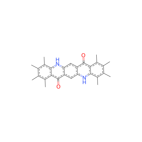 Cc1c(C)c(C)c2c(=O)c3cc4[nH]c5c(C)c(C)c(C)c(C)c5c(=O)c4cc3[nH]c2c1C